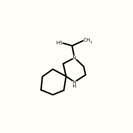 CC(S)N1CCNC2(CCCCC2)C1